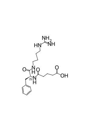 N=C(N)NCCCCNC(=O)[C@H](Cc1ccccc1)NC(=O)CCCC(=O)O